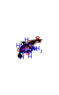 CNCC(=O)NCC(=O)N[C@@H](Cc1ccccc1)C(=O)NCC(=O)N[C@H](C(=O)N[C@@H](CCCNC(N)=O)C(=O)Nc1ccc(COC(=O)C(C)C)cc1)C(C)C